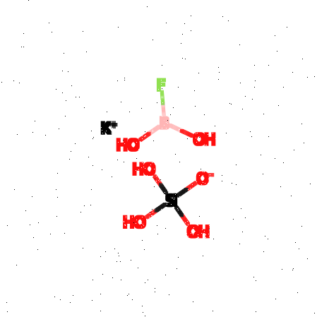 OB(O)F.[K+].[O-][Si](O)(O)O